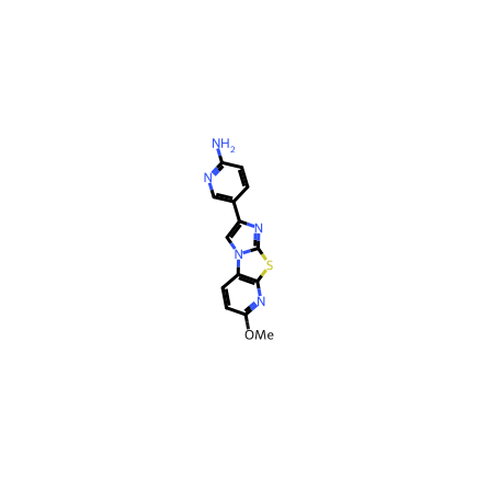 COc1ccc2c(n1)sc1nc(-c3ccc(N)nc3)cn12